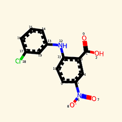 O=C(O)c1cc([N+](=O)[O-])ccc1Nc1cccc(Cl)c1